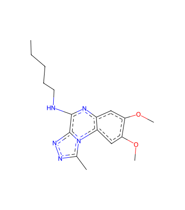 CCCCCNc1nc2cc(OC)c(OC)cc2n2c(C)nnc12